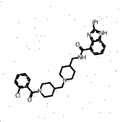 CC(C)c1nc2c(C(=O)NCC3CCN(CC4CCN(C(=O)c5ccccc5Cl)CC4)CC3)cccc2[nH]1